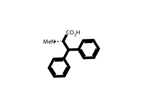 CN[C@H](C(=O)O)C(c1ccccc1)c1ccccc1